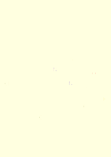 CC1CN(c2cc(Cl)cc(Cl)c2)C(=NC(=O)C(F)Cl)S1